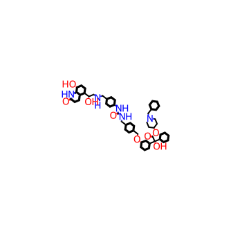 O=C(NCc1ccc(COc2cccc(C(O)(C(=O)OC3CCN(Cc4ccccc4)CC3)c3ccccc3)c2)cc1)Nc1ccc(CNC[C@H](O)c2ccc(O)c3[nH]c(=O)ccc23)cc1